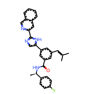 CC(C)=Cc1cc(C(=O)N[C@H](C)c2ccc(F)cc2)cc(-c2cnc(-c3cc4ccccc4cn3)[nH]2)c1